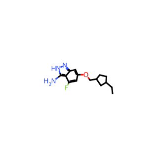 CCC1CCC(COc2cc(F)c3c(N)[nH]nc3c2)C1